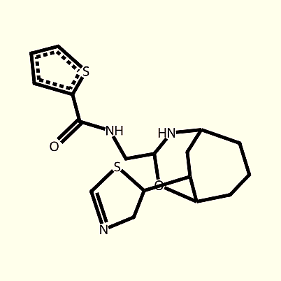 O=C(NCC1NC2CCCC(O1)C(C1CN=CS1)C2)c1cccs1